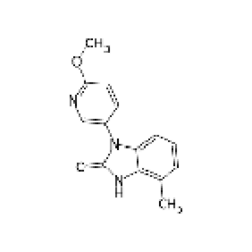 COc1ccc(-n2c(=O)[nH]c3c(C)cccc32)cn1